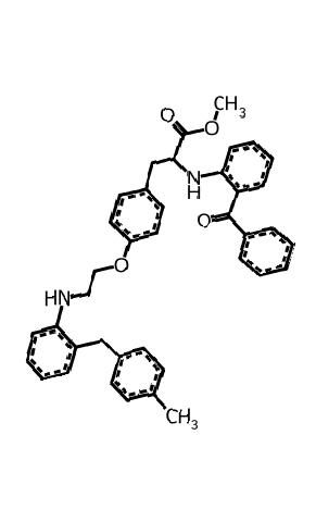 COC(=O)C(Cc1ccc(OCCNc2ccccc2Cc2ccc(C)cc2)cc1)Nc1ccccc1C(=O)c1ccccc1